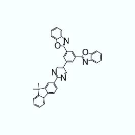 CC1(C)c2ccccc2-c2ccc(-c3ncc(-c4cc(-c5nc6ccccc6o5)cc(-c5nc6ccccc6o5)c4)cn3)cc21